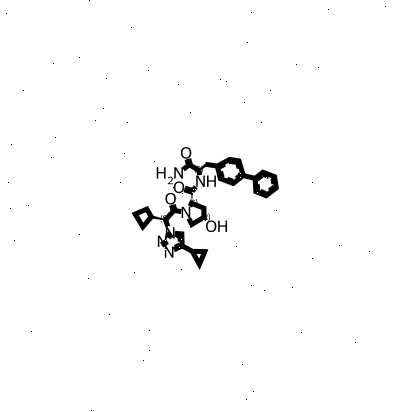 NC(=O)[C@@H](Cc1ccc(-c2ccccc2)cc1)NC(=O)[C@@H]1C[C@@H](O)CN1C(=O)[C@H](C1CCC1)n1cc(C2CC2)nn1